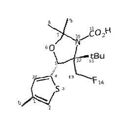 Cc1csc([C@@H]2OC(C)(C)N(C(=O)O)[C@@]2(CF)C(C)(C)C)c1